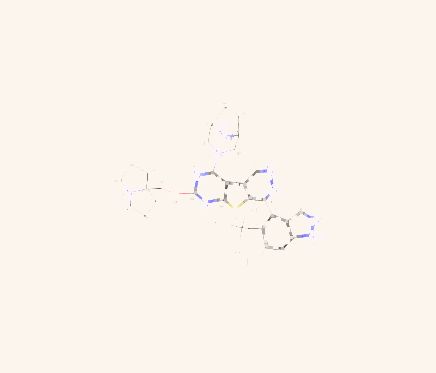 Cc1cc2[nH]ncc2c(-c2nncc3c2sc2nc(OC[C@@]45CCCN4C[C@H](F)C5)nc(N4CC5CCC(C4)N5)c23)c1C(F)(F)F